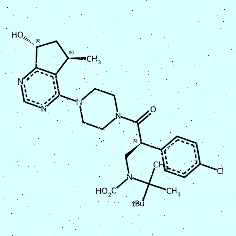 C[C@@H]1C[C@@H](O)c2ncnc(N3CCN(C(=O)[C@H](CN(C(=O)O)C(C)(C)C(C)(C)C)c4ccc(Cl)cc4)CC3)c21